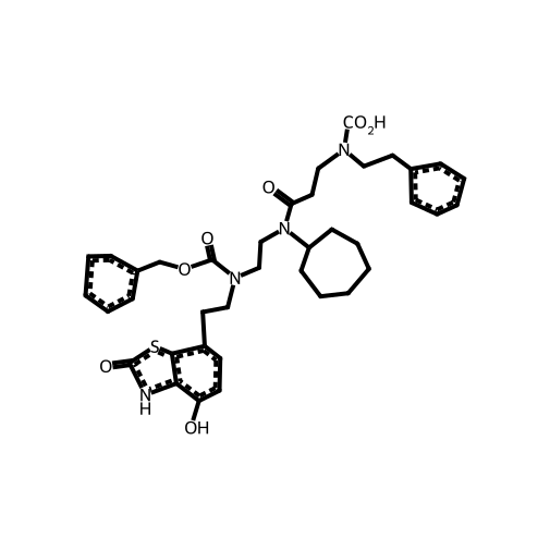 O=C(O)N(CCC(=O)N(CCN(CCc1ccc(O)c2[nH]c(=O)sc12)C(=O)OCc1ccccc1)C1CCCCCC1)CCc1ccccc1